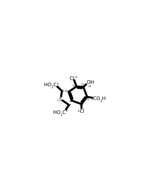 O=C(O)CSCC(=O)O.O=C(O)c1c(Cl)ccc(Cl)c1O